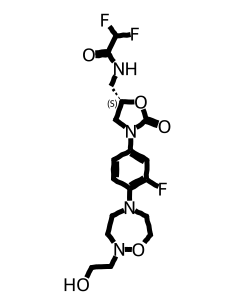 O=C(NC[C@H]1CN(c2ccc(N3CCON(CCO)CC3)c(F)c2)C(=O)O1)C(F)F